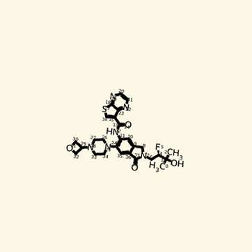 CC(C)(O)[C@H](F)CN1Cc2cc(NC(=O)c3csc4nccnc34)c(N3CCN(C4COC4)CC3)cc2C1=O